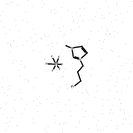 CC(C)CCC[n+]1ccn(C)c1.F[P-](F)(F)(F)(F)F